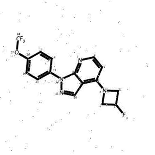 FC1CN(c2ccnc3c2cnn3-c2ccc(OC(F)(F)F)cc2)C1